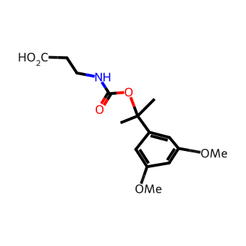 COc1cc(OC)cc(C(C)(C)OC(=O)NCCC(=O)O)c1